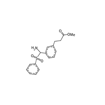 COC(=O)CCc1cccc(C(N)S(=O)(=O)c2ccccc2)c1